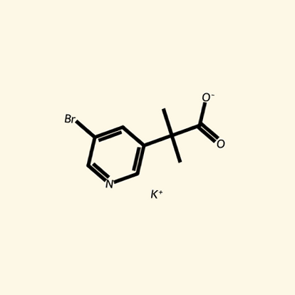 CC(C)(C(=O)[O-])c1cncc(Br)c1.[K+]